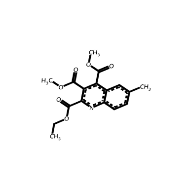 CCOC(=O)c1nc2ccc(C)cc2c(C(=O)OC)c1C(=O)OC